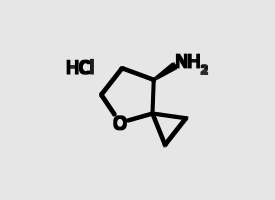 Cl.N[C@@H]1CCOC12CC2